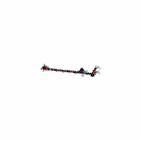 CCCCCc1cc2c(CCCCC/N=C(/NCCOCCOCCOCCOCCOCCOCCOCCOCCOCCOCCC(=O)Oc3c(F)c(F)cc(F)c3F)Nc3cccc(C#N)c3)cccc2nc1N